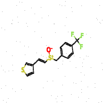 [O-][S+](C=Cc1ccsc1)Cc1ccc(C(F)(F)F)cc1